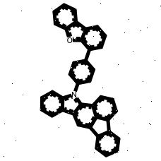 c1ccc2c(c1)-c1cccc3c1c-2cc1c2ccccc2n(-c2ccc(-c4cccc5c4oc4ccccc45)cc2)c31